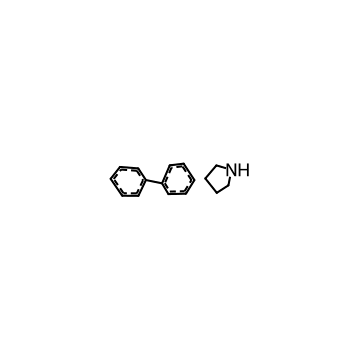 C1CCNC1.c1ccc(-c2ccccc2)cc1